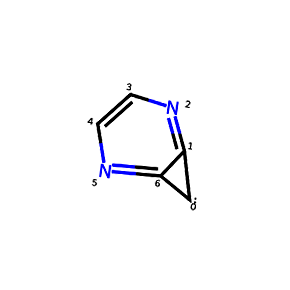 [C]1c2nccnc21